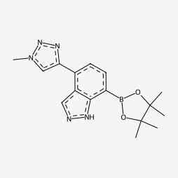 Cn1cc(-c2ccc(B3OC(C)(C)C(C)(C)O3)c3[nH]ncc23)nn1